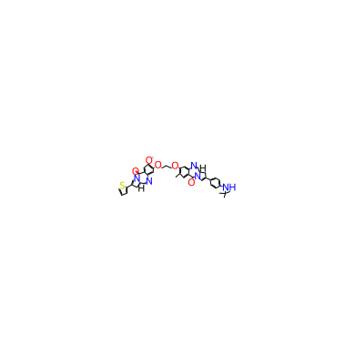 COc1cc2c(cc1OCCCOc1cc3c(cc1C)C(=O)N1C=C(c4ccc(NC(C)(C)C)cc4)C[C@H]1C=N3)N=C[C@@H]1CC(c3cccs3)=CN1C2=O